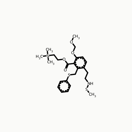 COCOc1ccc(CCNSC)c(CSc2ccccc2)c1C(=O)OCC[Si](C)(C)C